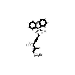 CCOC(=O)/C=C(\C)[C@H](O)C#CCO[Si](c1ccccc1)(c1ccccc1)C(C)(C)C